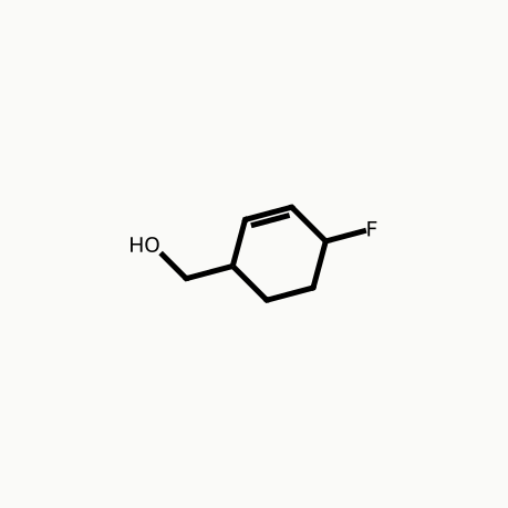 OCC1C=CC(F)CC1